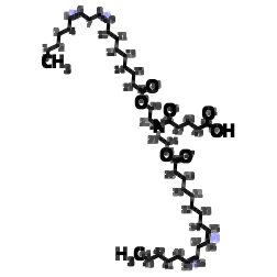 CCCCC/C=C\C/C=C\CCCCCCCC(=O)OCCN(CCOC(=O)CCCCCCC/C=C\C/C=C\CCCCC)C(=O)CCCC(=O)O